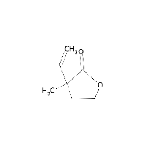 C=CC1(C)CCOC1=O